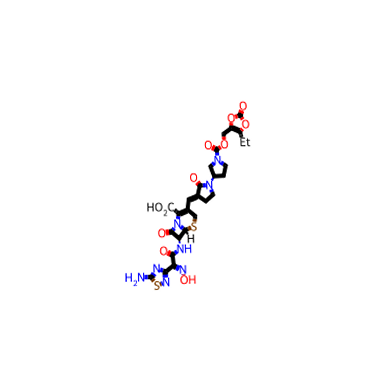 CCc1oc(=O)oc1COC(=O)N1CC[C@@H](N2CCC(=CC3=C(C(=O)O)N4C(=O)[C@@H](NC(=O)C(=NO)c5nsc(N)n5)[C@H]4SC3)C2=O)C1